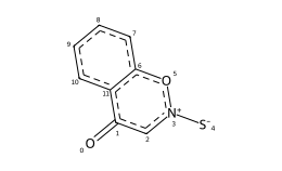 O=c1c[n+]([S-])oc2ccccc12